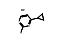 Cl.Nc1nccc(C2CC2)n1